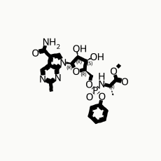 COC(=O)[C@H](C)NP(=O)(OC[C@H]1O[C@@H](n2cc(C(N)=O)c3cnc(C)nc32)[C@H](O)[C@@H]1O)Oc1ccccc1